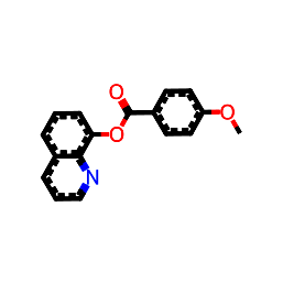 COc1ccc(C(=O)Oc2cccc3cccnc23)cc1